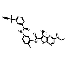 CCNc1cnc2sc(C(=O)Nc3cc(NC(=O)c4cccc(C(C)(C)C#N)c4)ccc3C)c(N)c2n1